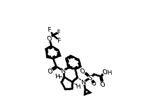 O=C(O)CS(=O)(=O)N(C1CC1)[C@H]1c2ccccc2N(C(=O)c2ccc(OC(F)(F)F)cc2)[C@@H]2CCC[C@@H]21